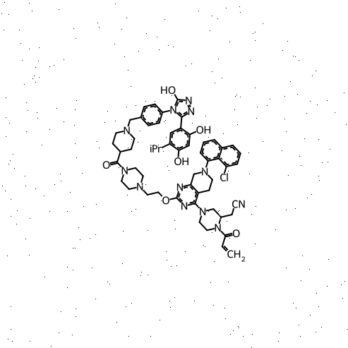 C=CC(=O)N1CCN(c2nc(OCCN3CCN(C(=O)C4CCN(Cc5ccc(-n6c(O)nnc6-c6cc(C(C)C)c(O)cc6O)cc5)CC4)CC3)nc3c2CCN(c2cccc4cccc(Cl)c24)C3)CC1CC#N